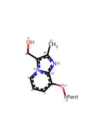 CCCCCOc1cccn2c(CO)c(C)nc12